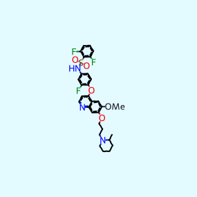 COc1cc2c(Oc3ccc(NS(=O)(=O)c4c(F)cccc4F)cc3F)ccnc2cc1OCCCN1CCCCC1C